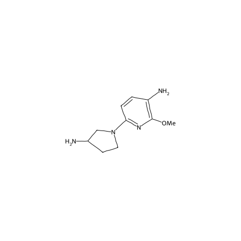 COc1nc(N2CCC(N)C2)ccc1N